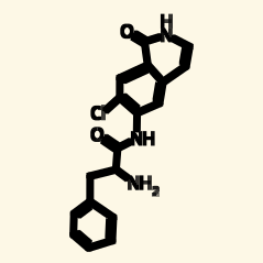 NC(Cc1ccccc1)C(=O)Nc1cc2cc[nH]c(=O)c2cc1Cl